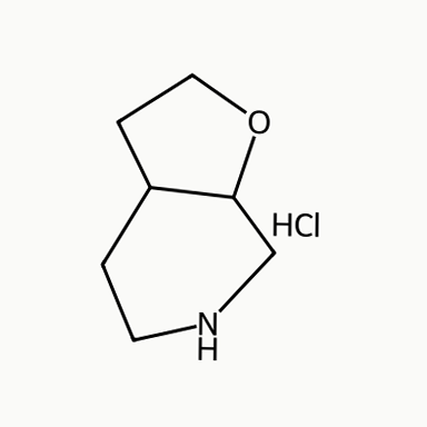 C1CC2CCOC2CN1.Cl